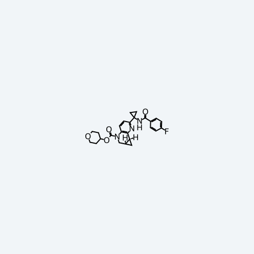 O=C(NC1(c2ccc3c(n2)[C@@H]2C[C@@H]2CN3C(=O)OC2CCOCC2)CC1)c1ccc(F)cc1